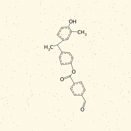 Cc1cc(C(C)c2ccc(OC(=O)c3ccc(C=O)cc3)cc2)ccc1O